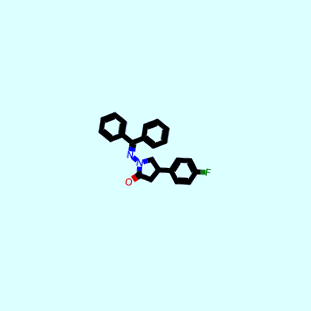 O=C1CC(c2ccc(F)cc2)CN1N=C(c1ccccc1)c1ccccc1